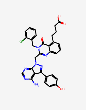 Nc1ncnc2c1c(-c1ccc(O)cc1)nn2Cc1nc2cccc(CCCC(=O)O)c2c(=O)n1Cc1ccccc1Cl